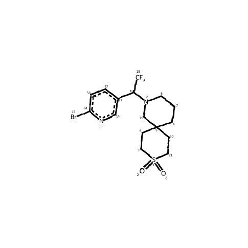 O=S1(=O)CCC2(CCCN(C(c3ccc(Br)nc3)C(F)(F)F)C2)CC1